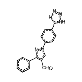 O=Cc1cn(-c2ccc(-c3nnn[nH]3)cc2)nc1-c1ccccc1